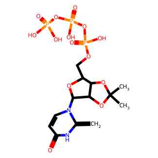 C=C1NC(=O)C=CN1C1OC(COP(=O)(O)OP(=O)(O)OP(=O)(O)O)C2OC(C)(C)OC21